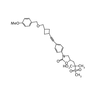 COc1ccc(COCC2CC(C#Cc3ccc(N4CC(CC(C)(C(=O)O)S(C)(=O)=O)OC4=O)cc3)C2)cc1